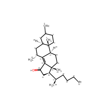 CC(=O)OC1CC[C@@]2(C)[C@H](C1)C[C@@H](C)C1=C3C(=O)C[C@H]([C@H](C)CCCC(C)C)[C@@]3(C)CC[C@@H]12